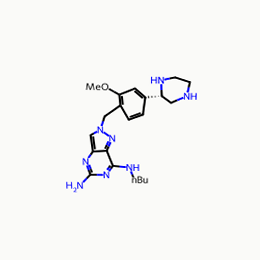 CCCCNc1nc(N)nc2cn(Cc3ccc([C@H]4CNCCN4)cc3OC)nc12